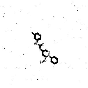 CCOc1cc(=NC(=O)Nc2cccc(C)c2)cnn1C1C=CCC=C1